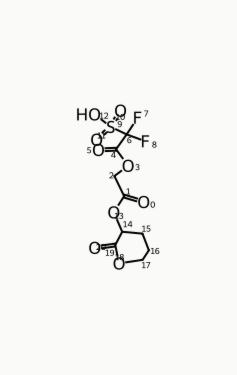 O=C(COC(=O)C(F)(F)S(=O)(=O)O)OC1CCCOC1=O